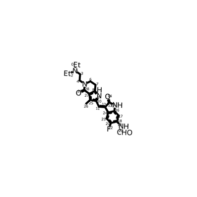 CCN(CC)CCN1CCc2[nH]c(/C=C3\C(=O)Nc4cc(NC=O)c(F)cc43)c(C)c2C1=O